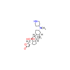 CN(C1CCNCC1)[C@H]1CC[C@@]2(C)[C@H](CC[C@@H]3[C@@H]2C[C@@H](O)[C@]2(C)[C@@H](C4=CC(=O)OC4)CC[C@]32O)C1